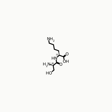 NCCCC[C@H](NC(=O)[C@H](N)CO)C(=O)O